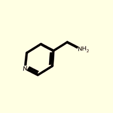 NCC1=CC=NCC1